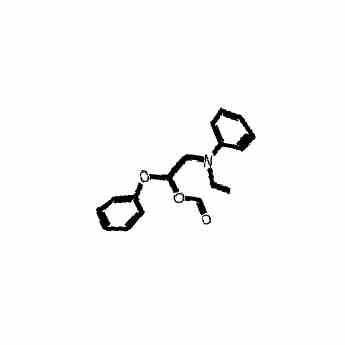 CCN(CC(OC=O)Oc1ccccc1)c1ccccc1